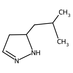 CC(C)CC1CC=NN1